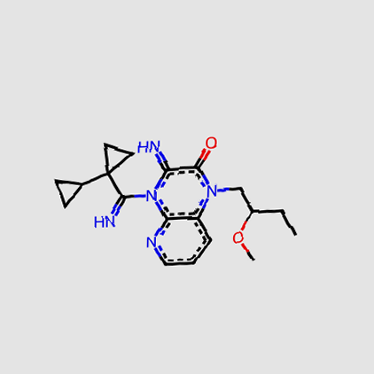 CCC(Cn1c(=O)c(=N)n(C(=N)C2(C3CC3)CC2)c2ncccc21)OC